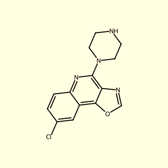 Clc1ccc2nc(N3CCNCC3)c3ncoc3c2c1